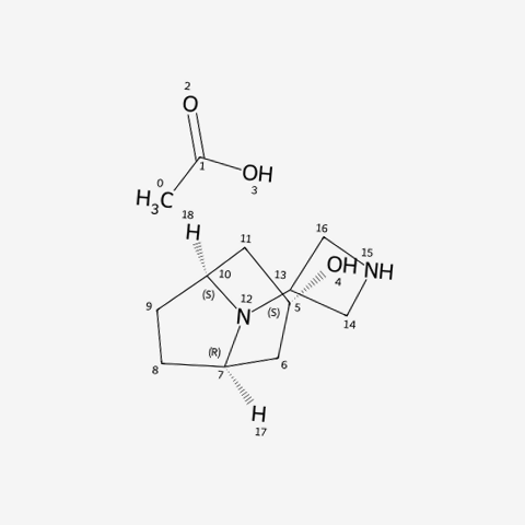 CC(=O)O.O[C@@H]1C[C@H]2CC[C@@H](C1)N2C1CNC1